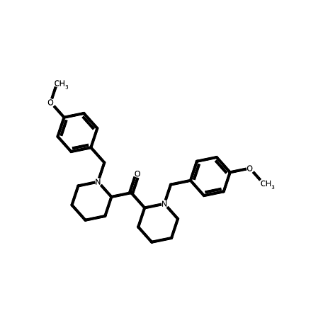 COc1ccc(CN2CCCCC2C(=O)C2CCCCN2Cc2ccc(OC)cc2)cc1